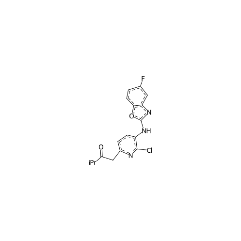 CC(C)C(=O)Cc1ccc(Nc2nc3cc(F)ccc3o2)c(Cl)n1